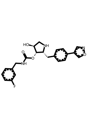 O=C(NCc1cccc(F)c1)O[C@@H]1[C@@H](O)CN[C@@H]1Cc1ccc(-c2cnoc2)cc1